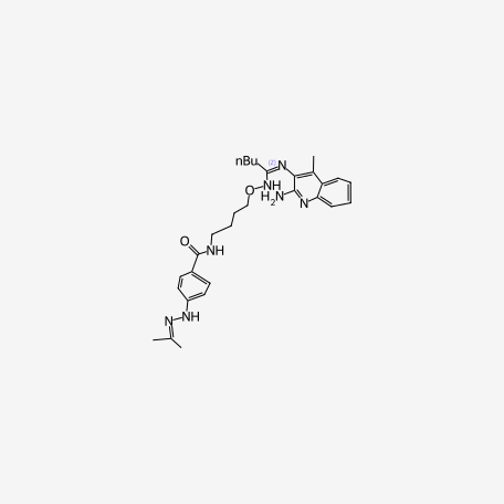 CCCC/C(=N/c1c(N)nc2ccccc2c1C)NOCCCCNC(=O)c1ccc(NN=C(C)C)cc1